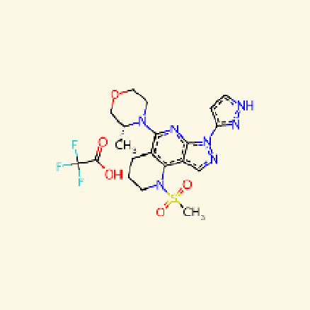 C[C@@H]1COCCN1c1nc2c(cnn2-c2cc[nH]n2)c2c1CCCN2S(C)(=O)=O.O=C(O)C(F)(F)F